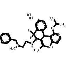 CC1=C(C(=O)NCCN(C)Cc2ccccc2)C(c2ccccc2C(F)(F)F)c2c(ccnc2OC(C)C)N1.Cl.Cl